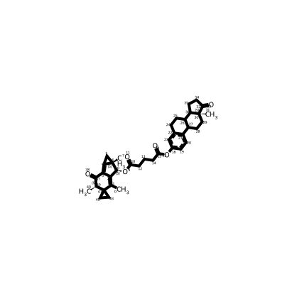 CC1=C2C(=C3C[C@]3(C)[C@@H]2OC(=O)CCCC(=O)Oc2ccc3c(c2)CCC2C3CC[C@]3(C)C(=O)CCC23)C(=O)[C@@H](C)C12CC2